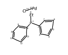 CCP(c1ccccc1)c1ccccc1.[Cl][Pd]